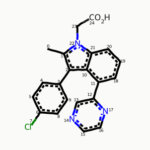 Cc1c(-c2ccc(Cl)cc2)c2c(-c3cnccn3)cccc2n1CC(=O)O